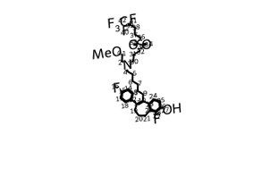 COCCN(CCCCCCC1=C(c2ccc(F)cc2)CCCc2c1ccc(O)c2F)CCCS(=O)(=O)CCCC(F)(F)C(F)(F)F